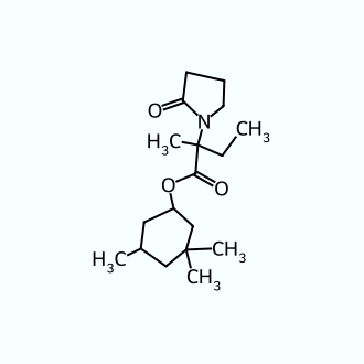 CCC(C)(C(=O)OC1CC(C)CC(C)(C)C1)N1CCCC1=O